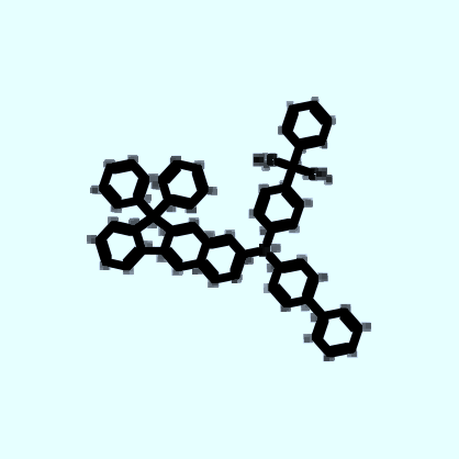 CC(C)(c1ccccc1)c1ccc(N(c2ccc(-c3ccccc3)cc2)c2ccc3cc4c(cc3c2)C(c2ccccc2)(c2ccccc2)c2ccccc2-4)cc1